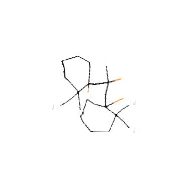 CCCC1(CCC)CCCCC1(P)C(P)(CC)C1(P)CCCCC1(CCC)CCC